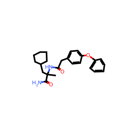 CC(CC1CCCCC1)(NC(=O)Cc1ccc(Oc2ccccc2)cc1)C(N)=O